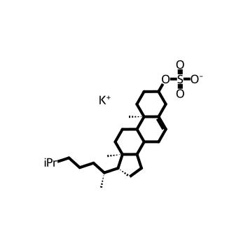 CC(C)CCC[C@@H](C)[C@H]1CCC2C3CC=C4CC(OS(=O)(=O)[O-])CC[C@]4(C)C3CC[C@@]21C.[K+]